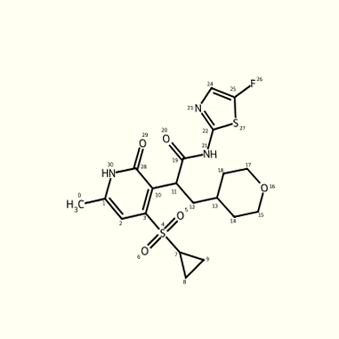 Cc1cc(S(=O)(=O)C2CC2)c(C(CC2CCOCC2)C(=O)Nc2ncc(F)s2)c(=O)[nH]1